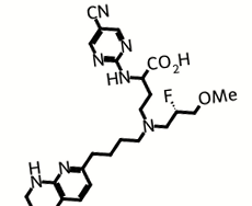 COC[C@@H](F)CN(CCCCc1ccc2c(n1)NCCC2)CCC(Nc1ncc(C#N)cn1)C(=O)O